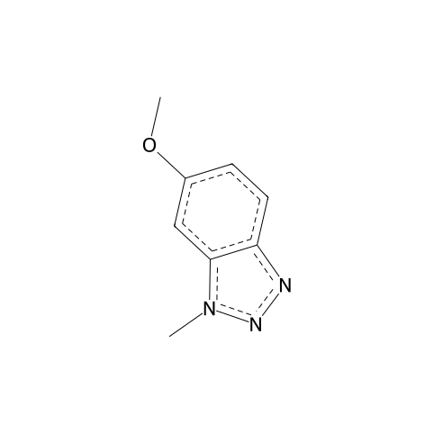 COc1ccc2nnn(C)c2c1